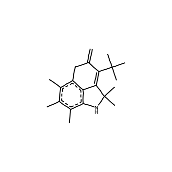 C=C1Cc2c(C)c(C)c(C)c3c2C(=C1C(C)(C)C)C(C)(C)N3